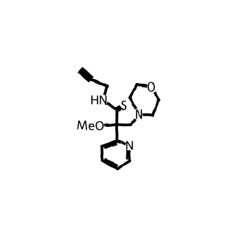 C#CCNC(=S)C(CN1CCOCC1)(OC)c1ccccn1